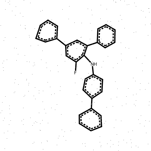 Fc1cc(-c2ccccc2)cc(-c2ccccc2)c1Nc1ccc(-c2ccccc2)cc1